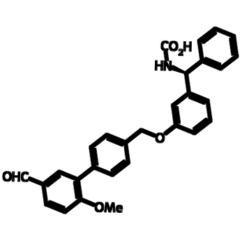 COc1ccc(C=O)cc1-c1ccc(COc2cccc([C@@H](NC(=O)O)c3ccccc3)c2)cc1